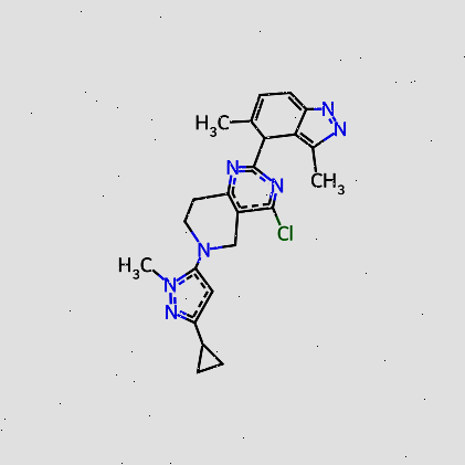 CC1=CC=C2N=NC(C)=C2C1c1nc(Cl)c2c(n1)CCN(c1cc(C3CC3)nn1C)C2